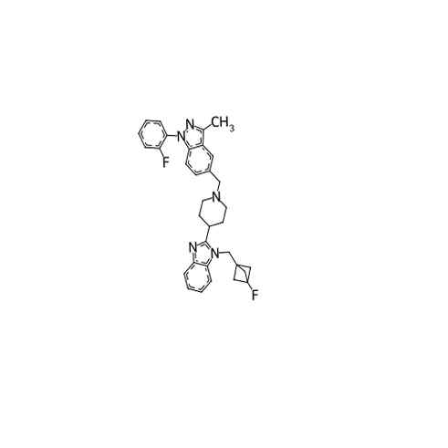 Cc1nn(-c2ccccc2F)c2ccc(CN3CCC(c4nc5ccccc5n4CC45CC(F)(C4)C5)CC3)cc12